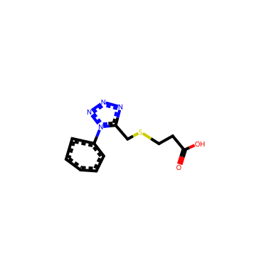 O=C(O)CCSCc1nnnn1-c1ccccc1